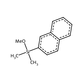 CO[Si](C)(C)c1ccc2ccccc2c1